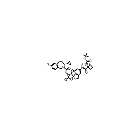 CC(C)(C)OC(=O)NC1(C(=O)Nc2ccc3c(c2)CC[C@]32OC(=O)N(CC(=O)N3Cc4ccc(F)cc4CC[C@@H]3C3CC3)C2=O)CCC1